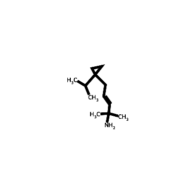 CC(C)C1(CC=CC(C)(C)N)CC1